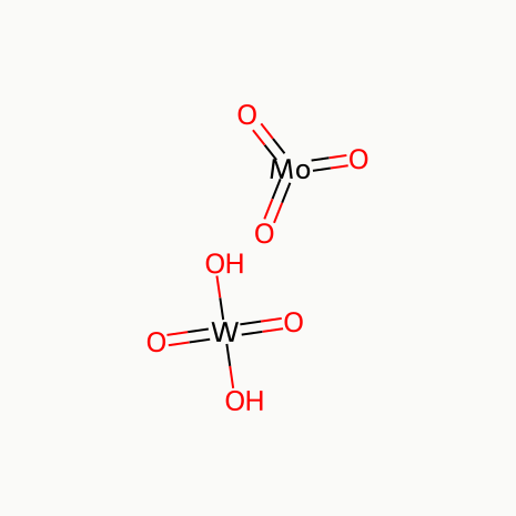 [O]=[Mo](=[O])=[O].[O]=[W](=[O])([OH])[OH]